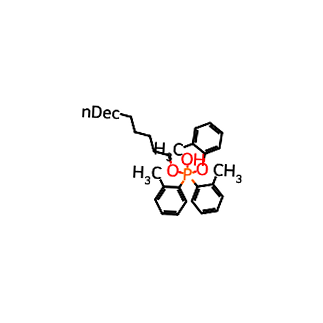 CCCCCCCCCCCCCCCOP(O)(Oc1ccccc1C)(c1ccccc1C)c1ccccc1C